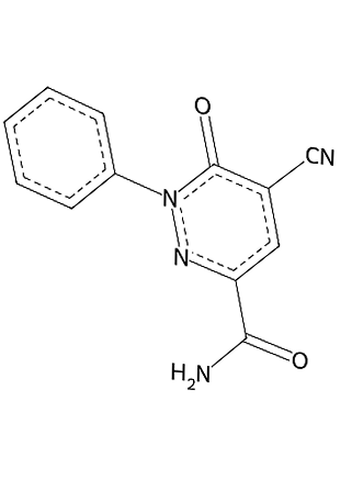 N#Cc1cc(C(N)=O)nn(-c2ccccc2)c1=O